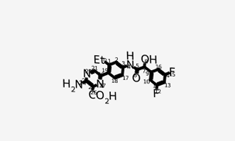 CCc1cc(NC(=O)C(O)c2cc(F)cc(F)c2)ccc1-c1cnc(N)c(C(=O)O)n1